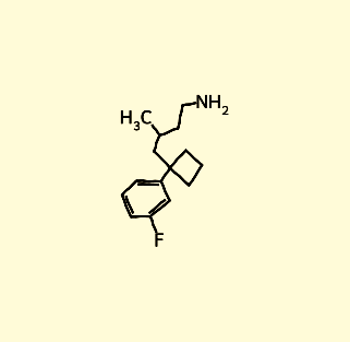 CC(CCN)CC1(c2cccc(F)c2)CCC1